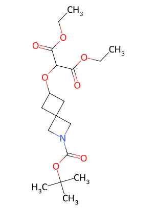 CCOC(=O)C(OC1CC2(C1)CN(C(=O)OC(C)(C)C)C2)C(=O)OCC